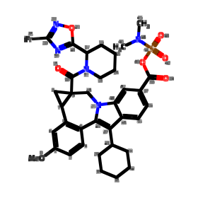 COc1ccc2c(c1)C1CC1(C(=O)N1CCCCC1c1nc(C(C)C)no1)Cn1c-2c(C2CCCCC2)c2ccc(C(=O)OS(=O)(=O)N(C)C)cc21